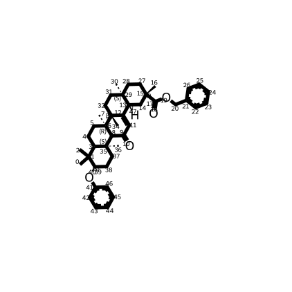 CC1(C)C2CC[C@]3(C)C(C(=O)C=C4[C@@H]5C[C@@](C)(C(=O)OCc6ccccc6)CC[C@]5(C)CC[C@]43C)[C@@]2(C)CC[C@@H]1Oc1ccccc1